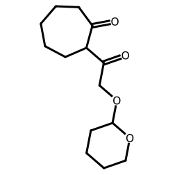 O=C1CCCCCC1C(=O)COC1CCCCO1